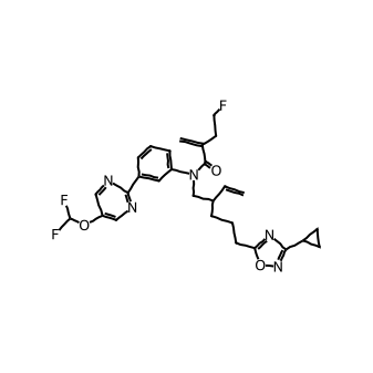 C=CC(CCCc1nc(C2CC2)no1)CN(C(=O)C(=C)CCF)c1cccc(-c2ncc(OC(F)F)cn2)c1